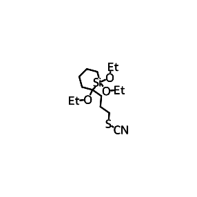 CCOC1(CCCSC#N)CCCC[Si]1(OCC)OCC